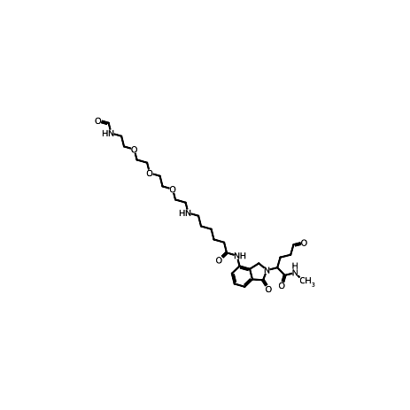 CNC(=O)C(CCC=O)N1Cc2c(NC(=O)CCCCCNCCOCCOCCOCCNC=O)cccc2C1=O